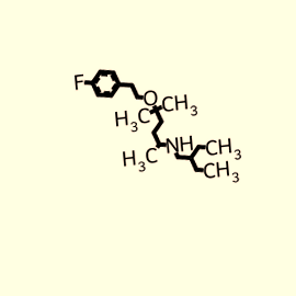 CCC(CC)CNC(C)CCC(C)(C)OCCc1ccc(F)cc1